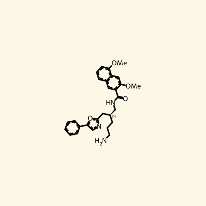 COc1cc2c(OC)cccc2cc1C(=O)NC[C@@H](CCCN)Cc1ncc(-c2ccccc2)o1